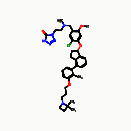 CCOc1cc(O[C@H]2CCc3c(-c4cccc(OCCCN5CCC5(C)C)c4C)cccc32)c(Cl)cc1CN(C)CCn1nn[nH]c1=O